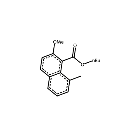 CCCCOC(=O)c1c(OC)ccc2cccc(C)c12